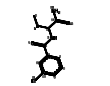 CSC(NC(=O)c1cccc(Cl)c1)C(N)=O